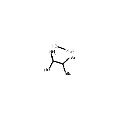 CCCCC(CCCC)C(N)O.O=S(=O)(O)O